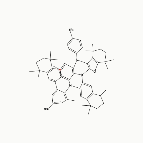 Cc1cc2c3c(c1)N(c1c(C)cc(C(C)(C)C)cc1-c1ccc4c(c1)C(C)(C)CCC4(C)C)c1cc4c(cc1B3c1oc3c(c1N2c1ccc(C(C)(C)C)cc1)C(C)(C)CCC3(C)C)C(C)CCC4(C)C